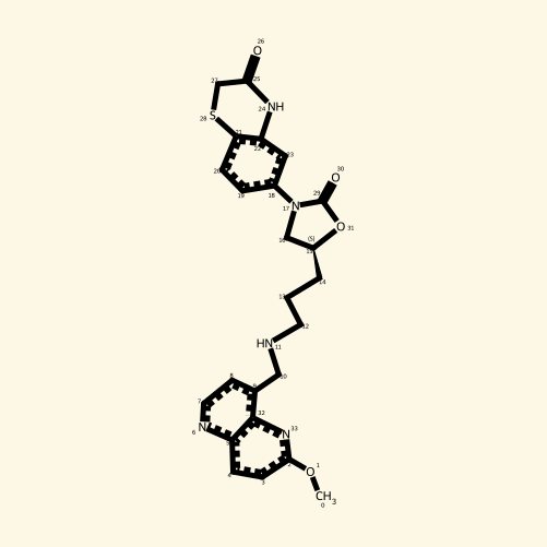 COc1ccc2nccc(CNCCC[C@H]3CN(c4ccc5c(c4)NC(=O)CS5)C(=O)O3)c2n1